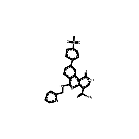 CS(=O)(=O)c1ccc(-c2ccc3c(NCc4ccccn4)nc4c(C(N)=O)c[nH]c(=O)c4c3c2)cc1